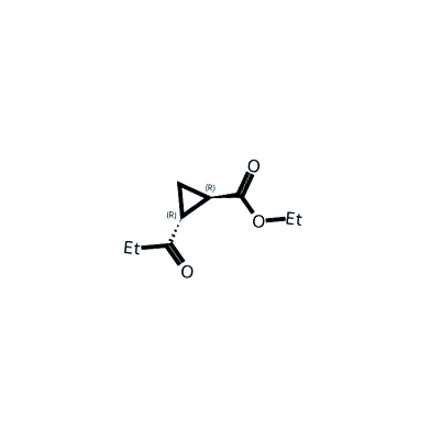 CCOC(=O)[C@@H]1C[C@H]1C(=O)CC